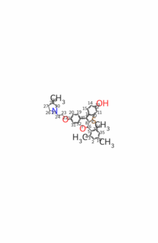 Cc1cc(C)c(C(=O)c2sc3cc(O)ccc3c2-c2ccc(OCCN3CC[C@@H](C)C3)cc2)c(C)c1